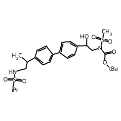 CC(CNS(=O)(=O)C(C)C)c1ccc(-c2ccc(C(O)CN(C(=O)OC(C)(C)C)S(C)(=O)=O)cc2)cc1